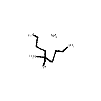 CCCC(N)(CCCN)CCCN.N